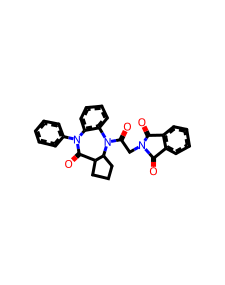 O=C1c2ccccc2C(=O)N1CC(=O)N1c2ccccc2N(c2ccccc2)C(=O)C2CCCC21